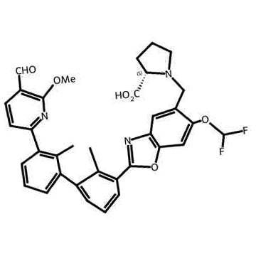 COc1nc(-c2cccc(-c3cccc(-c4nc5cc(CN6CCC[C@H]6C(=O)O)c(OC(F)F)cc5o4)c3C)c2C)ccc1C=O